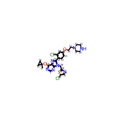 CC1(Oc2ncnc3c2nc(-c2ccc(OCCN4CCNCC4)cc2Cl)n3Cc2ncc(Cl)s2)CC1